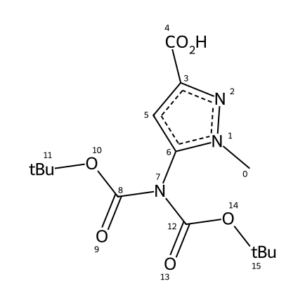 Cn1nc(C(=O)O)cc1N(C(=O)OC(C)(C)C)C(=O)OC(C)(C)C